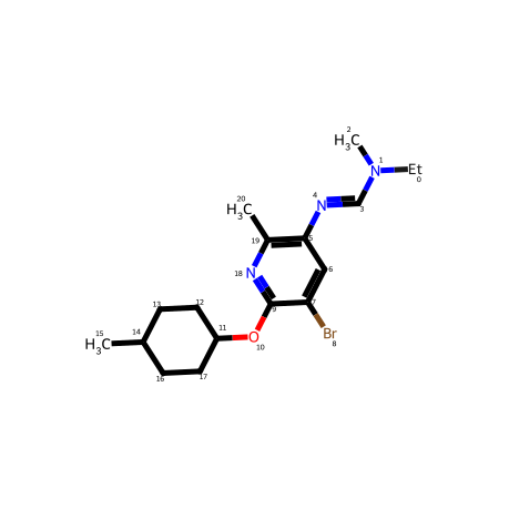 CCN(C)/C=N/c1cc(Br)c(OC2CCC(C)CC2)nc1C